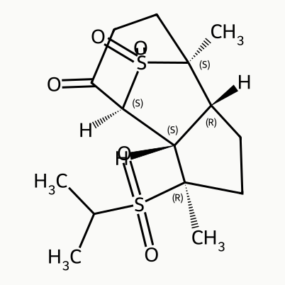 CC(C)S(=O)(=O)[C@]1(C)CC[C@@H]2[C@H]1[C@H]1C(=O)CC[C@]2(C)S1(=O)=O